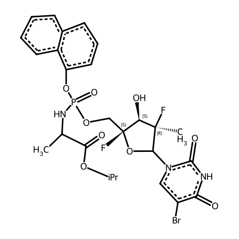 CC(C)OC(=O)C(C)NP(=O)(OC[C@@]1(F)OC(n2cc(Br)c(=O)[nH]c2=O)[C@](C)(F)[C@@H]1O)Oc1cccc2ccccc12